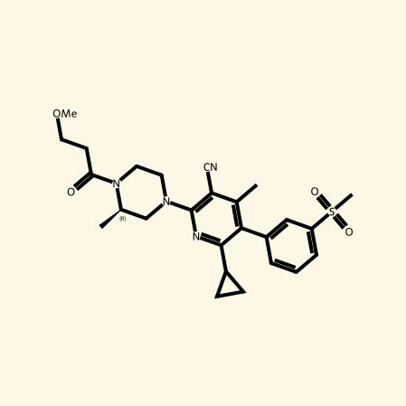 COCCC(=O)N1CCN(c2nc(C3CC3)c(-c3cccc(S(C)(=O)=O)c3)c(C)c2C#N)C[C@H]1C